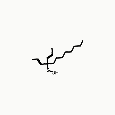 CC=CC(C=CC)(CCCCCCCC)SO